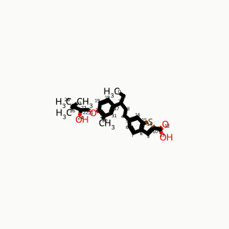 CCC(CCc1ccc2cc(C(=O)O)sc2c1)c1ccc(OCC(O)C(C)(C)C)c(C)c1